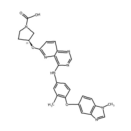 Cc1cc(Nc2ncnc3ccc(O[C@H]4CCN(C(=O)O)C4)nc23)ccc1Oc1ccc2c(c1)ncn2C